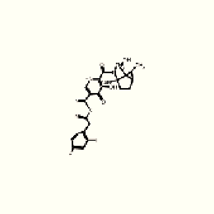 CNC1(N(C)C(=O)c2[nH]cc(C(=N)SC(=N)Cc3ccc(F)cc3F)c(=O)c2O)CCC2[C@H](C)C21CO